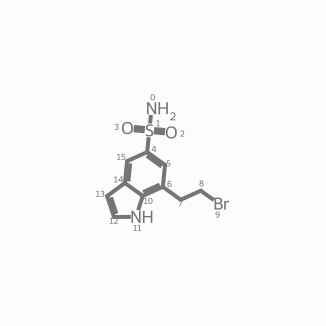 NS(=O)(=O)c1cc(CCBr)c2[nH]ccc2c1